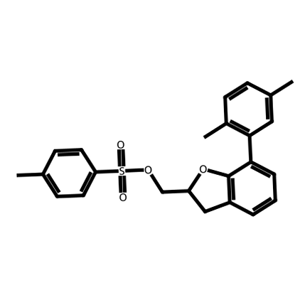 Cc1ccc(S(=O)(=O)OCC2Cc3cccc(-c4cc(C)ccc4C)c3O2)cc1